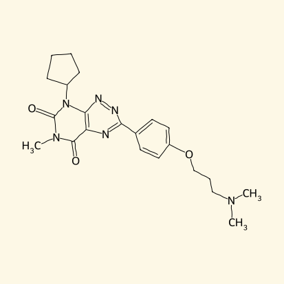 CN(C)CCCOc1ccc(-c2nnc3c(n2)c(=O)n(C)c(=O)n3C2CCCC2)cc1